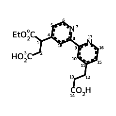 CCOC(=O)C(CC(=O)O)c1ccnc(-c2cc(CCC(=O)O)ccn2)c1